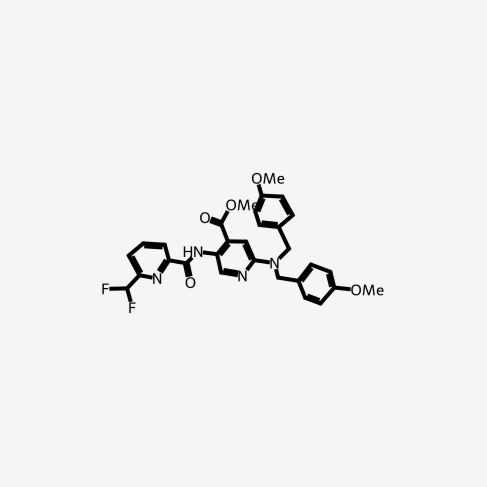 COC(=O)c1cc(N(Cc2ccc(OC)cc2)Cc2ccc(OC)cc2)ncc1NC(=O)c1cccc(C(F)F)n1